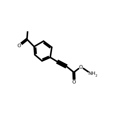 CC(=O)c1ccc(C#CC(=O)ON)cc1